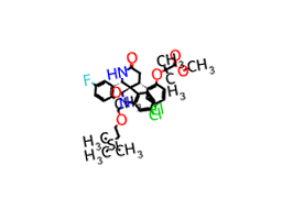 COC(=O)C(C)(C)Oc1ccc(Cl)cc1[C@H]1CC(=O)N[C@@H](c2cc(F)ccc2C)[C@]12C(=O)N(COCC[Si](C)(C)C)c1cc(Cl)ccc12